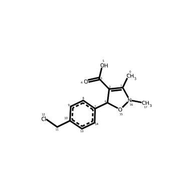 CC1=C(C(=O)O)C(c2ccc(CCl)cc2)ON1C